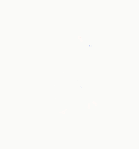 CC1(C)CC(c2cccc(N3CCOCC3)c2)N(CCN2CCS(=O)(=O)CC2)c2ccc(C(N)=O)cc21